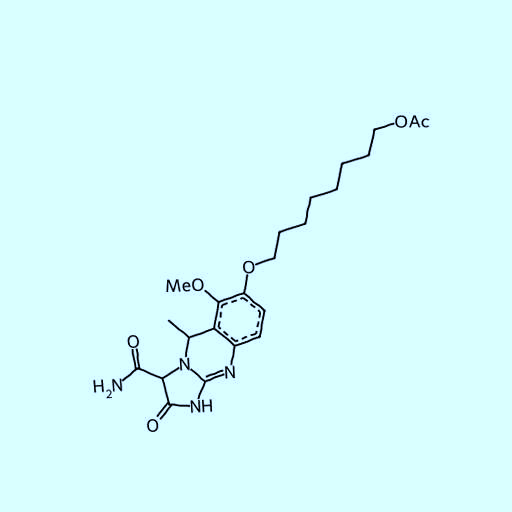 COc1c(OCCCCCCCCOC(C)=O)ccc2c1C(C)N1C(=N2)NC(=O)C1C(N)=O